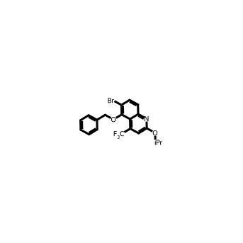 CC(C)Oc1cc(C(F)(F)F)c2c(OCc3ccccc3)c(Br)ccc2n1